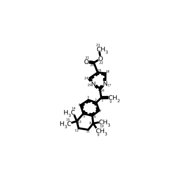 C=C(c1ccc2c(c1)C(C)(C)CCC2(C)C)c1ncc(C(=O)OC)cn1